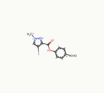 Cn1cc(I)c(C(=O)Oc2ccc(C=O)cc2)n1